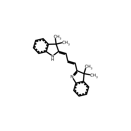 CC1(C)C(/C=C/C=C2\Nc3ccccc3C2(C)C)=Nc2ccccc21